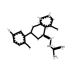 Cc1ccc(F)cc1C1C/C(=N\NC(=N)N)c2c(C)cnnc2C1